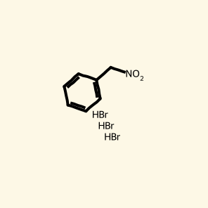 Br.Br.Br.O=[N+]([O-])Cc1ccccc1